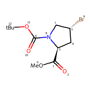 COC(=O)[C@@H]1C[C@@H](Br)CN1C(=O)OC(C)(C)C